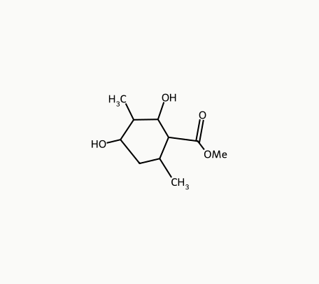 COC(=O)C1C(C)CC(O)C(C)C1O